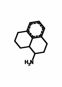 NC1CCc2cccc3c2C1CCC3